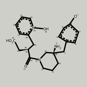 N[C@@]1(Cc2ccc(Cl)cc2)CCCN(C(=O)[C@@H](CC(=O)O)Cc2cccc[n+]2O)C1